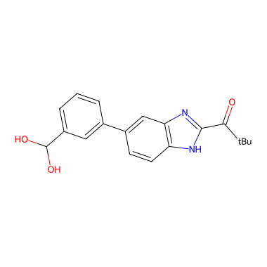 CC(C)(C)C(=O)c1nc2cc(-c3cccc(C(O)O)c3)ccc2[nH]1